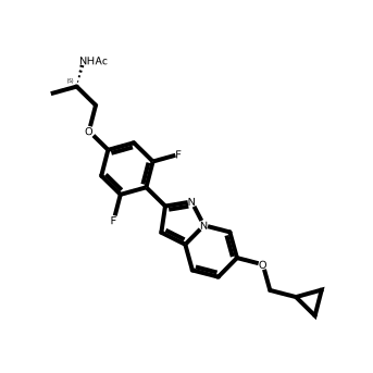 CC(=O)N[C@@H](C)COc1cc(F)c(-c2cc3ccc(OCC4CC4)cn3n2)c(F)c1